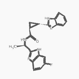 C[C@@H](NC(=O)[C@H]1C[C@@H]1c1nc2ccccc2[nH]1)c1nc2ccc(F)cc2[nH]1